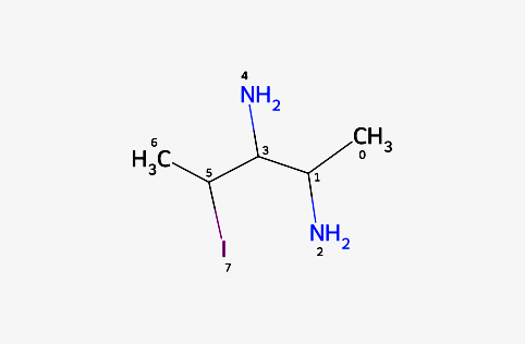 CC(N)C(N)C(C)I